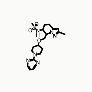 Cc1cc2n(n1)C(COC1CCN(c3ncccn3)CC1)C(NS(C)(=O)=O)CC2